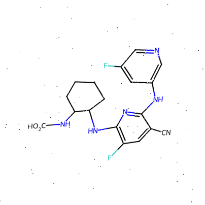 N#Cc1cc(F)c(NC2CCCCC2NC(=O)O)nc1Nc1cncc(F)c1